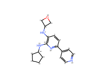 c1cc(-c2ccc(NC3COC3)c(NC3CCCC3)n2)ccn1